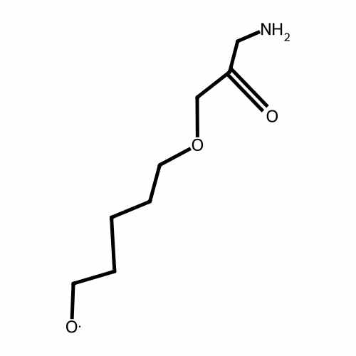 NCC(=O)COCCCCC[O]